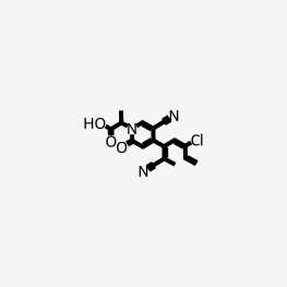 C=C/C(Cl)=C\C(=C(/C)C#N)c1cc(=O)n(C(C)C(=O)O)cc1C#N